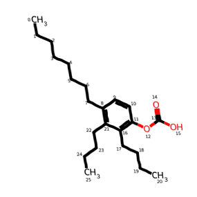 CCCCCCCCc1ccc(OC(=O)O)c(CCCC)c1CCCC